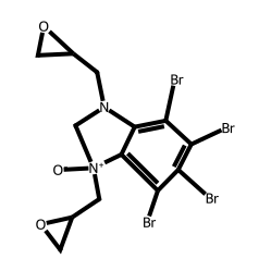 [O-][N+]1(CC2CO2)CN(CC2CO2)c2c(Br)c(Br)c(Br)c(Br)c21